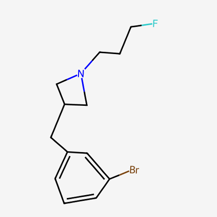 FCCCN1CC(Cc2cccc(Br)c2)C1